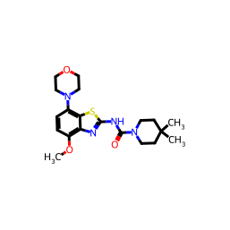 COc1ccc(N2CCOCC2)c2sc(NC(=O)N3CCC(C)(C)CC3)nc12